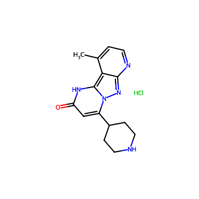 Cc1ccnc2nn3c(C4CCNCC4)cc(=O)[nH]c3c12.Cl